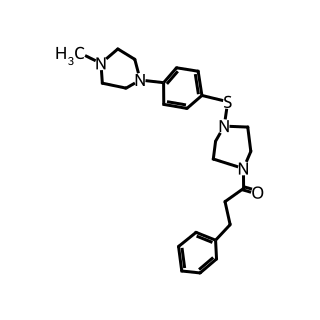 CN1CCN(c2ccc(SN3CCN(C(=O)CCc4ccccc4)CC3)cc2)CC1